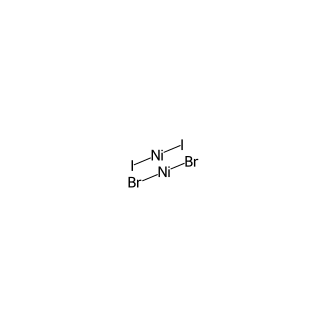 [Br][Ni][Br].[I][Ni][I]